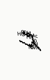 C=CCCCCCCC(C)(NC)C(=O)CNC(C)(CCCCCCC=C)C(=O)CCN[C@@H](Cc1ccc(CP(=O)(O)O)cc1)C(C)=O